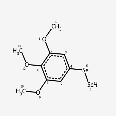 COc1cc([Se][SeH])cc(OC)c1OC